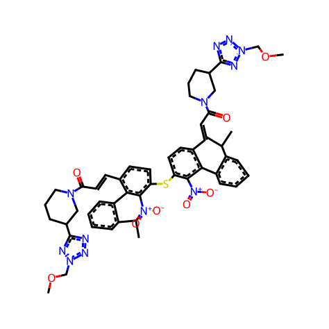 COCn1nnc(C2CCCN(C(=O)/C=C/c3ccc(Sc4ccc(/C=C/C(=O)N5CCCC(c6nnn(COC)n6)C5)c(-c5ccccc5C(C)C)c4[N+](=O)[O-])c([N+](=O)[O-])c3-c3ccccc3C(C)C)C2)n1